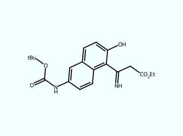 CCOC(=O)CC(=N)c1c(O)ccc2cc(NC(=O)OC(C)(C)C)ccc12